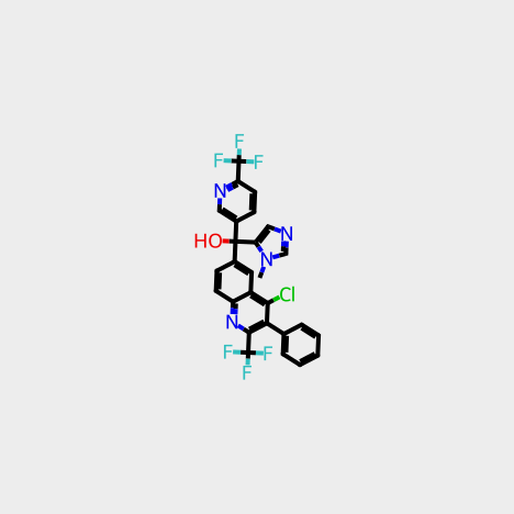 Cn1cncc1C(O)(c1ccc(C(F)(F)F)nc1)c1ccc2nc(C(F)(F)F)c(-c3ccccc3)c(Cl)c2c1